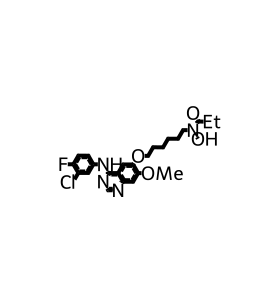 CCC(=O)N(O)CCCCCCOc1cc2c(Nc3ccc(F)c(Cl)c3)ncnc2cc1OC